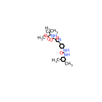 COC(=O)C(NC(=O)c1cc(-c2ccc(NC(=O)Nc3cc(C)cc(C)c3)cc2)no1)C(C)C